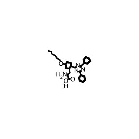 CCCCCCOc1ccc(-c2nc(-c3ccccc3)nc(-c3ccccc3)n2)c(C[C@H](N)C(=O)O)c1